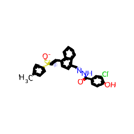 Cc1ccc([S+]([O-])/C=C/c2ccc(/C=N/NC(=O)c3ccc(O)c(Cl)c3)c3ccccc23)cc1